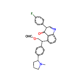 CN1CCCC1c1ccc(C(COC=O)c2cccc3c2C(=O)C(c2ccc(F)cc2)C=N3)cc1